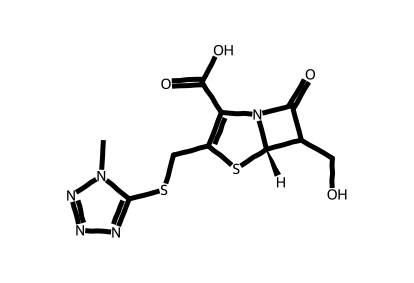 Cn1nnnc1SCC1=C(C(=O)O)N2C(=O)C(CO)[C@@H]2S1